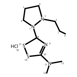 CCCN1CCCN1C1N=C(N(C)C)SS1.Cl